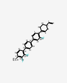 C=CC1CC=C(c2ccc(-c3ccc(-c4ccc(CC)c(F)c4F)cc3)cc2F)CC1